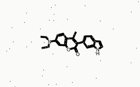 CCN(CC)c1ccc2c(C)c(-c3ccc4cc[nH]c4c3)c(=O)oc2c1